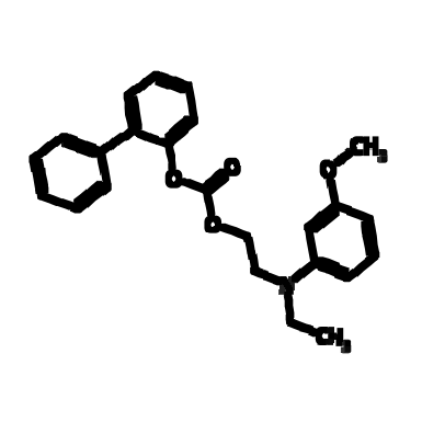 CCN(CCOC(=O)Oc1ccccc1-c1ccccc1)c1cccc(OC)c1